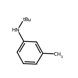 Cc1[c]ccc(NC(C)(C)C)c1